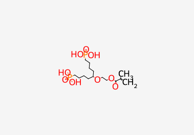 C=C(C)C(=O)OCCOC(CCCCP(=O)(O)O)CCCCP(=O)(O)O